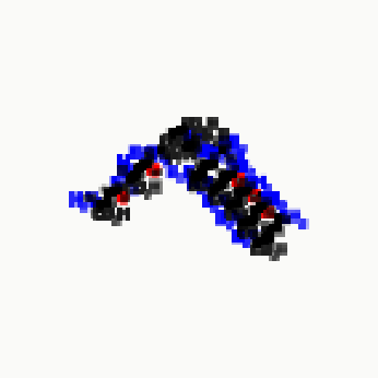 CC(C)C[C@H](N)C(=O)O.CC(C)C[C@H](N)C(=O)O.CC(C)[C@H](N)C(=O)O.N=C(N)NCCC[C@H](N)C(=O)O.NC(=O)CC[C@H](N)C(=O)O.NC(=O)CC[C@H](N)C(=O)O.NC(=O)CC[C@H](N)C(=O)O.NC(=O)CC[C@H](N)C(=O)O.NC(=O)CC[C@H](N)C(=O)O.NCCCC[C@H](N)C(=O)O